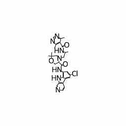 Cc1ncnc(C)c1C(=O)NC(C)CN1CC(C)(C)OCC1C(=O)Nc1cc(Cl)cc2c1[nH]c1cnccc12